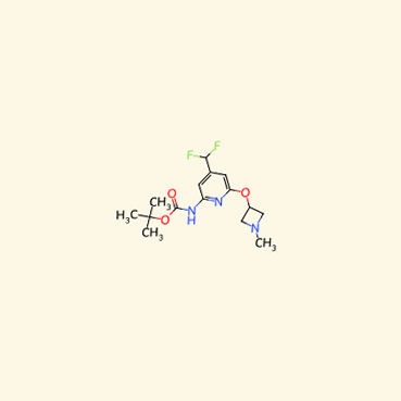 CN1CC(Oc2cc(C(F)F)cc(NC(=O)OC(C)(C)C)n2)C1